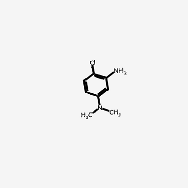 CN(C)c1ccc(Cl)c(N)c1